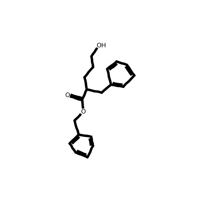 O=C(OCc1ccccc1)C(CCCO)Cc1ccccc1